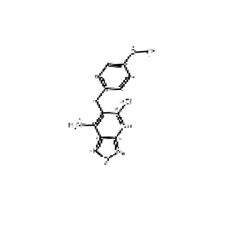 Nc1c(Cc2ccc(OC(F)(F)F)cc2)c(Cl)nc2nonc12